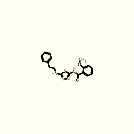 COc1ccccc1C(=O)Nc1nnc(NCCc2ccccc2)s1